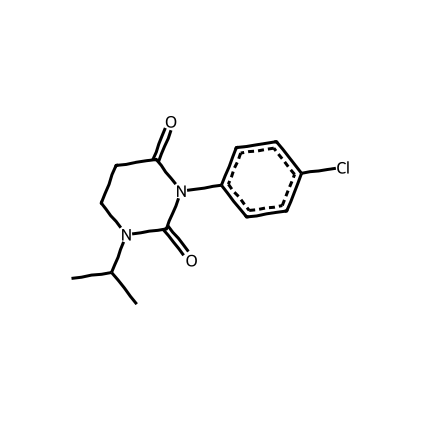 CC(C)N1CCC(=O)N(c2ccc(Cl)cc2)C1=O